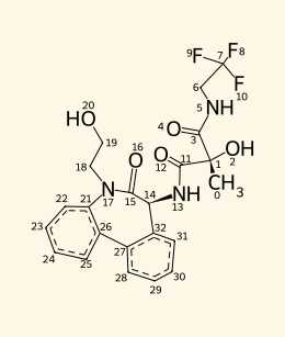 C[C@](O)(C(=O)NCC(F)(F)F)C(=O)N[C@@H]1C(=O)N(CCO)c2ccccc2-c2ccccc21